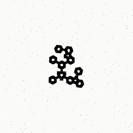 c1ccc(-c2cc(-c3nc(-c4ccccc4)nc(-c4ccc5c6ccccc6n(-c6ccccc6)c5c4)n3)cc(-c3cccc4c3sc3c(-c5ccccc5)cccc34)c2)cc1